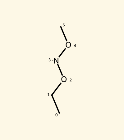 CCO[N]OC